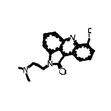 CN(C)CCN1C(=O)c2c3cccc(F)c3nc3cccc1c23